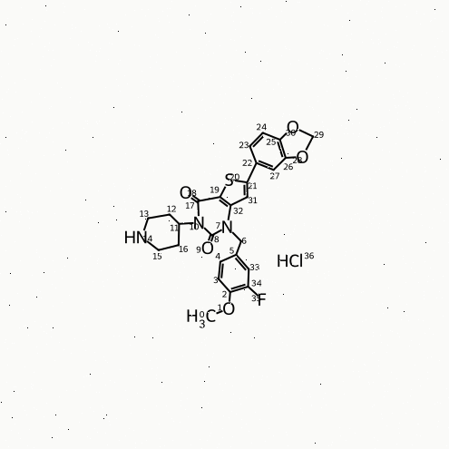 COc1ccc(Cn2c(=O)n(C3CCNCC3)c(=O)c3sc(-c4ccc5c(c4)OCO5)cc32)cc1F.Cl